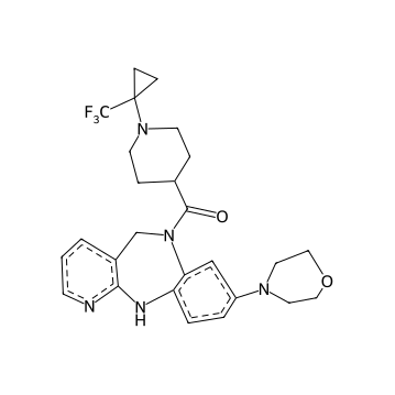 O=C(C1CCN(C2(C(F)(F)F)CC2)CC1)N1Cc2cccnc2Nc2ccc(N3CCOCC3)cc21